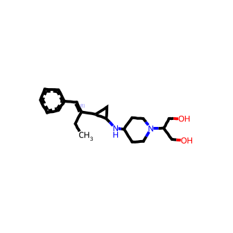 CC/C(=C\c1ccccc1)C1CC1NC1CCN(C(CO)CO)CC1